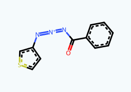 O=C(N=[N+]=Nc1ccsc1)c1ccccc1